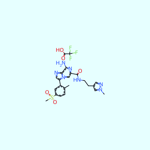 Cc1ccc(S(C)(=O)=O)cc1-c1cnc2c(N)nc(C(=O)NCCc3cnn(C)c3)cn12.O=C(O)C(F)(F)F